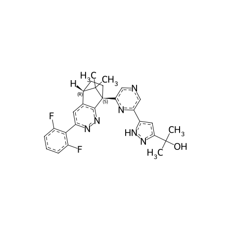 CC(C)(O)c1cc(-c2cncc([C@@]34CC[C@@H](c5cc(-c6c(F)cccc6F)nnc53)C4(C)C)n2)[nH]n1